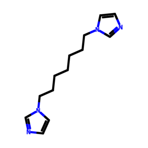 c1cn(CCCCCCCn2ccnc2)cn1